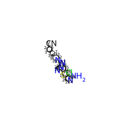 N#Cc1ccc2c(c1)CC1(CCN(c3nc4ccc(Sc5ccnc(N)c5Cl)c5ncc3n45)CC1)C2